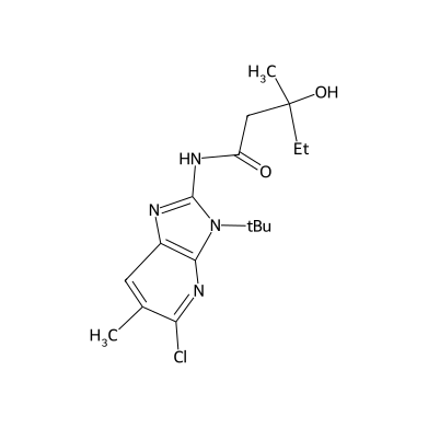 CCC(C)(O)CC(=O)Nc1nc2cc(C)c(Cl)nc2n1C(C)(C)C